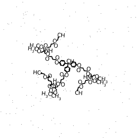 C#CCOC(=O)CCC(=O)NC1(COC(=O)CCC(=O)Oc2ccc(C(C)(c3ccc(OC(=O)CCC(=O)OCC4(NC(=O)CCC(=O)OCC#C)COC(C)(C)OC4)cc3)c3ccc(OC(=O)CCC(=O)OCC4(NC(=O)CCC(=O)OCC#C)COC(C)(C)OC4)cc3)cc2)COC(C)(C)OC1